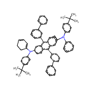 CC(C)(C)c1ccc(N(C2=CC=CCC2)c2ccc3c(-c4cccc(-c5ccccc5)c4)c4cc(N(c5ccccc5)c5ccc(C(C)(C)C)cc5)ccc4c(-c4cccc(-c5ccccc5)c4)c3c2)cc1